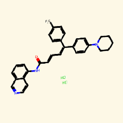 Cl.Cl.O=C(/C=C/C=C(/c1ccc(N2CCCCC2)cc1)c1ccc(C(F)(F)F)cc1)Nc1cccc2cnccc12